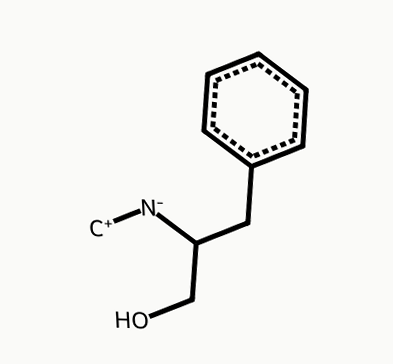 [CH2+][N-]C(CO)Cc1ccccc1